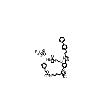 CC[n+]1nn(-c2ccc(-c3nc(CCc4ccc(-c5ccccc5)cc4)cs3)c(OCCN3CCNC3=O)c2)cc1CCCCNC(=O)OCc1ccccc1.O=S(=O)([O-])C(F)(F)F